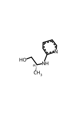 C[C@H](CO)Nc1ccccn1